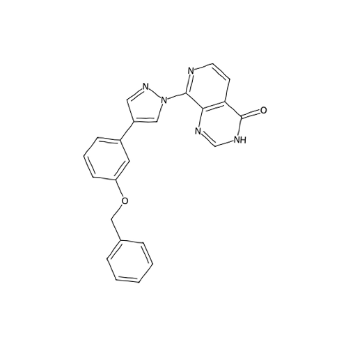 O=c1[nH]cnc2c(-n3cc(-c4cccc(OCc5ccccc5)c4)cn3)nccc12